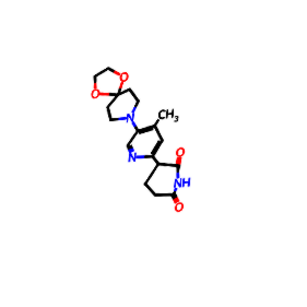 Cc1cc(C2CCC(=O)NC2=O)ncc1N1CCC2(CC1)OCCO2